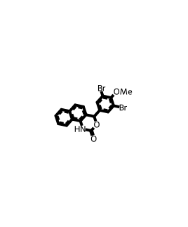 COc1c(Br)cc(C2OC(=O)Nc3c2ccc2ccccc32)cc1Br